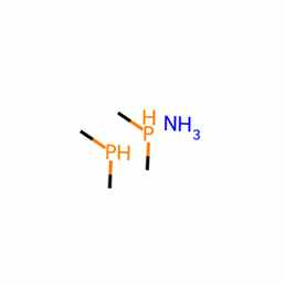 CPC.CPC.N